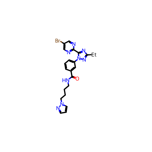 CCc1nc(-c2ncc(Br)cn2)n(-c2cccc(C(=O)NCCCCn3cccn3)c2)n1